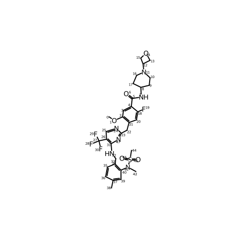 COc1cc(C(=O)NC2CCN(C3COC3)CC2)c(F)cc1Cc1ncc(C(F)(F)F)c(NCc2ccc(C)cc2N(C)S(C)(=O)=O)n1